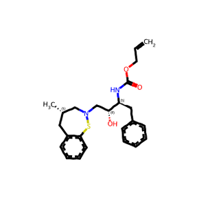 C=CCOC(=O)N[C@@H](Cc1ccccc1)[C@H](O)CN1C[C@@H](C)Cc2ccccc2S1